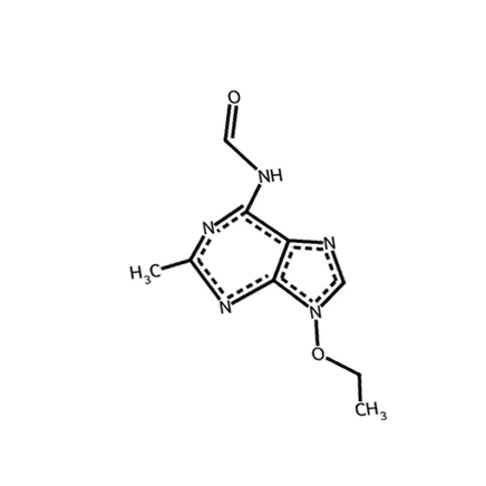 CCOn1cnc2c(NC=O)nc(C)nc21